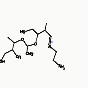 CC(/C=N/CCN)C(CO)OC(C=O)OC(C)C(O)CO